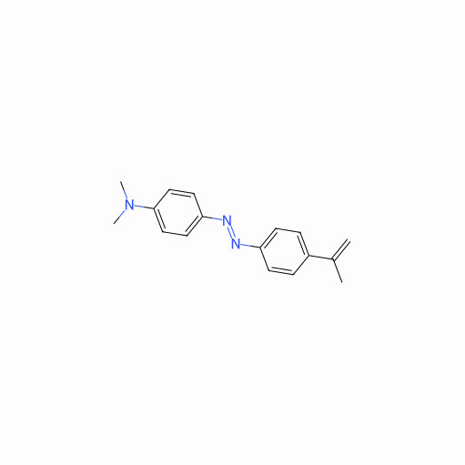 C=C(C)c1ccc(/N=N/c2ccc(N(C)C)cc2)cc1